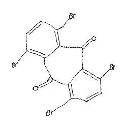 O=C1c2c(Br)ccc(Br)c2C(=O)c2c(Br)ccc(Br)c21